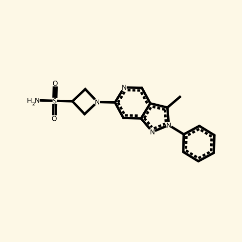 Cc1c2cnc(N3CC(S(N)(=O)=O)C3)cc2nn1-c1ccccc1